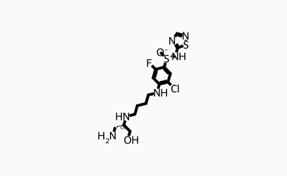 NC[C@@H](CO)NCCCCNc1cc(F)c([S+]([O-])Nc2ncns2)cc1Cl